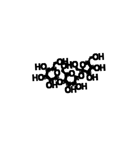 OC[C@H]1O[C@@H](O[C@H]2[C@H](O)[C@@H](O)[C@@H](O[C@]3(CO)O[C@H](CO)[C@@H](O)[C@@H]3O)O[C@@H]2CO)[C@H](O)[C@@H](O)[C@H]1O